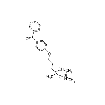 C[SiH](C)O[Si](C)(C)CCCOc1ccc(C(=O)c2ccccc2)cc1